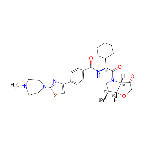 CC(C)[C@H]1CN(C(=O)[C@@H](NC(=O)c2ccc(-c3csc(N4CCN(C)CC4)n3)cc2)C2CCCCC2)[C@@H]2C(=O)CO[C@H]12